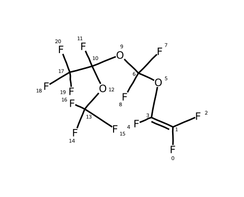 FC(F)=C(F)OC(F)(F)OC(F)(OC(F)(F)F)C(F)(F)F